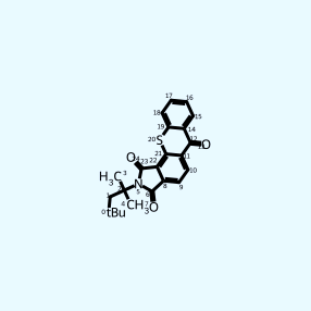 CC(C)(C)CC(C)(C)N1C(=O)c2ccc3c(=O)c4ccccc4sc3c2C1=O